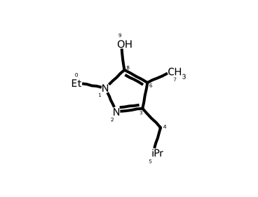 CCn1nc(CC(C)C)c(C)c1O